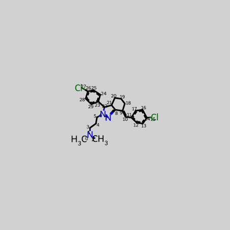 CN(C)CCCN1N=C2C(=Cc3ccc(Cl)cc3)CCCC2C1c1ccc(Cl)cc1